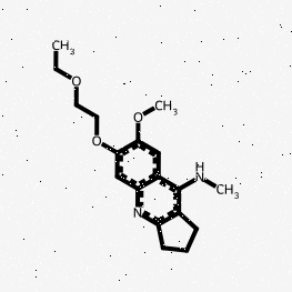 CCOCCOc1cc2nc3c(c(NC)c2cc1OC)CCC3